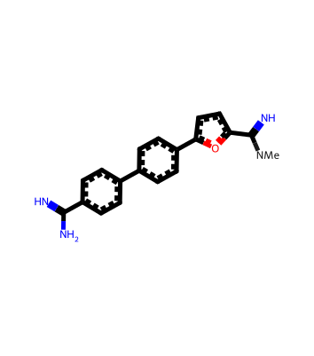 CNC(=N)c1ccc(-c2ccc(-c3ccc(C(=N)N)cc3)cc2)o1